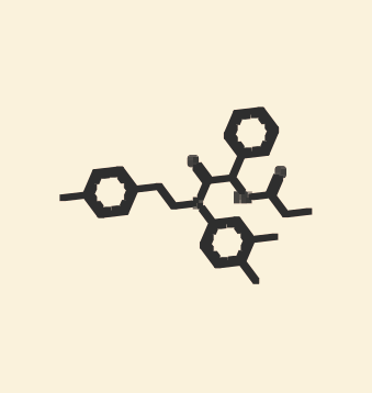 CCC(=O)NC(C(=O)N(CCc1ccc(C)cc1)c1ccc(C)c(C)c1)c1ccccc1